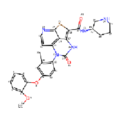 CCOc1ccccc1Oc1ccc(N2C(=O)Nc3c(C(=O)N[C@@H]4CCCNC4)sc4nccc2c34)c(C)c1